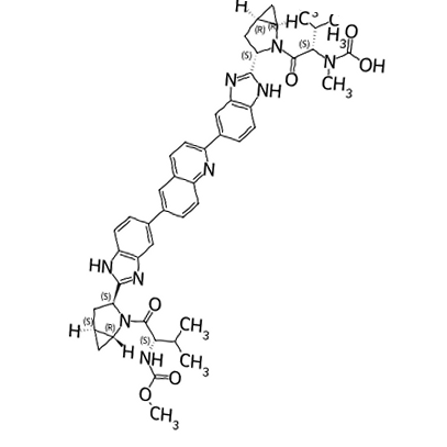 COC(=O)N[C@H](C(=O)N1[C@@H]2C[C@H]2C[C@H]1c1nc2cc(-c3ccc4nc(-c5ccc6[nH]c([C@@H]7C[C@H]8C[C@H]8N7C(=O)[C@H](C(C)C)N(C)C(=O)O)nc6c5)ccc4c3)ccc2[nH]1)C(C)C